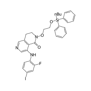 CCCC[Si](OCCON1CCc2cncc(Nc3ccc(I)cc3F)c2C1=O)(c1ccccc1)c1ccccc1